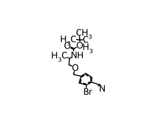 C[C@H](COCc1ccc(C#N)c(Br)c1)NC(=O)OC(C)(C)C